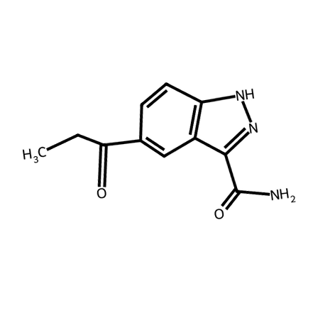 CCC(=O)c1ccc2[nH]nc(C(N)=O)c2c1